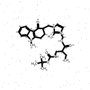 CCC(CNC(=O)OC(C)(C)C)C(=O)OC[n+]1ccn(CC2CCc3c(c4ccccc4n3C)C2=O)c1C